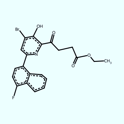 CCOC(=O)CCC(=O)c1nc(-c2ccc(F)c3ccccc23)cc(Br)c1O